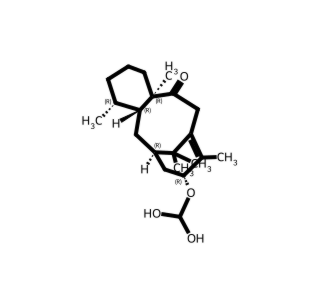 CC1=C2CC(=O)[C@]3(C)CCC[C@@H](C)[C@H]3C[C@H](C[C@H]1OC(O)O)C2(C)C